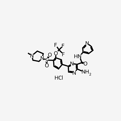 CN1CCN(S(=O)(=O)c2ccc(-c3cnc(N)c(C(=O)Nc4cccnc4)n3)cc2OC(F)(F)F)CC1.Cl